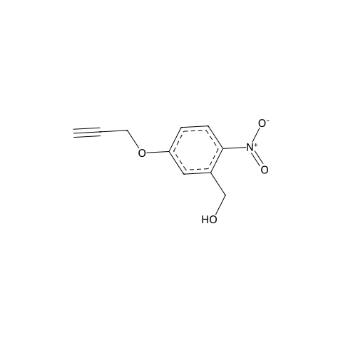 C#CCOc1ccc([N+](=O)[O-])c(CO)c1